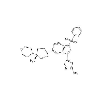 Cn1cc(-c2cn(S(=O)(=O)c3ccccc3)c3ncc([C@H]4CC[C@@](C)(N5CCOCC5)CC4)cc23)cn1